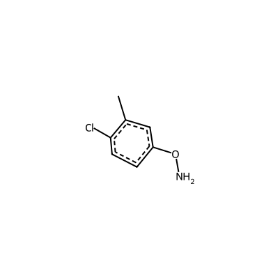 Cc1cc(ON)ccc1Cl